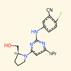 CCCc1cc(N2CCC[C@H]2CO)nc(Nc2ccc(F)c(C#N)c2)n1